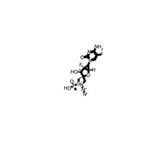 CP(=O)(O)OC[C@@]1(CN=[N+]=[N-])O[C@H]2C(n3cc(F)c(N)nc3=O)[C@]2(F)[C@@H]1O